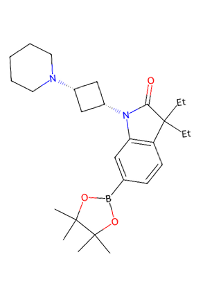 CCC1(CC)C(=O)N([C@H]2C[C@@H](N3CCCCC3)C2)c2cc(B3OC(C)(C)C(C)(C)O3)ccc21